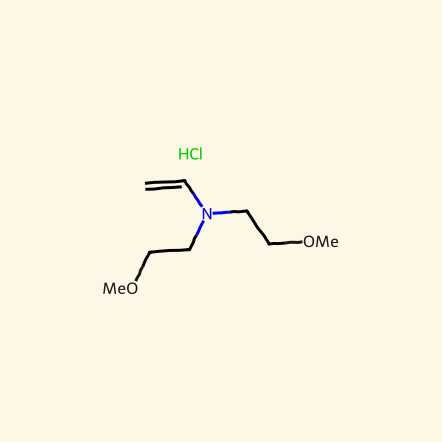 C=CN(CCOC)CCOC.Cl